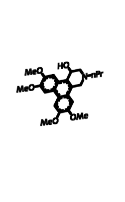 CCCN1Cc2c(c3cc(OC)c(OC)cc3c3cc(OC)c(OC)cc23)C(O)C1